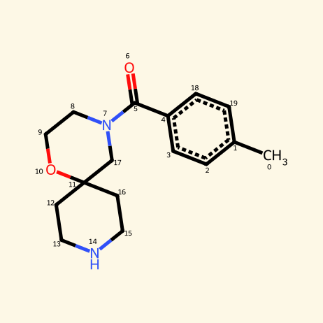 Cc1ccc(C(=O)N2CCOC3(CCNCC3)C2)cc1